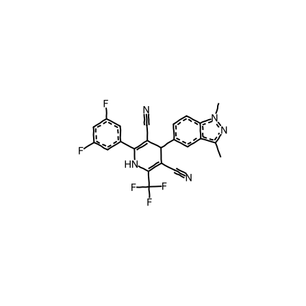 Cc1nn(C)c2ccc(C3C(C#N)=C(c4cc(F)cc(F)c4)NC(C(F)(F)F)=C3C#N)cc12